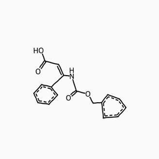 O=C(O)C=C(NC(=O)OCc1ccccc1)c1ccccc1